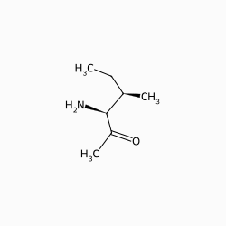 CC[C@@H](C)[C@H](N)C(C)=O